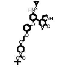 Cn1cc(-c2cc(NSC3CC3)ccc2Oc2cccc(OCCOC3CCN(C(=O)OC(C)(C)C)CC3)c2)c2cc[nH]c2c1=O